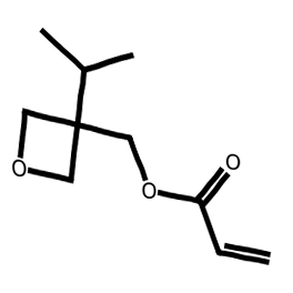 C=CC(=O)OCC1(C(C)C)COC1